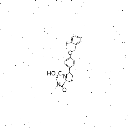 CN(C)C(=O)[C@@H]1CC[C@H](c2ccc(OCc3ccccc3F)cc2)N1C(=O)O